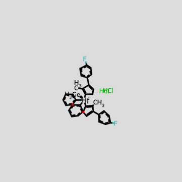 CC1=[C]([Hf](=[GeH2])([C]2=C(C)C(c3ccc(F)cc3)=CC2)([c]2ccccc2)[c]2ccccc2)CC=C1c1ccc(F)cc1.Cl.Cl